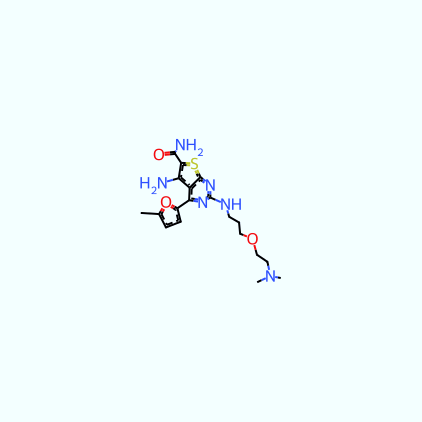 Cc1ccc(-c2nc(NCCCOCCN(C)C)nc3sc(C(N)=O)c(N)c23)o1